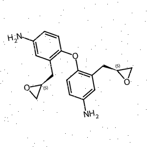 Nc1ccc(Oc2ccc(N)cc2C[C@H]2CO2)c(C[C@H]2CO2)c1